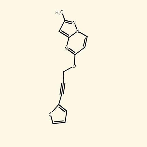 Cc1cc2nc(OCC#Cc3cccs3)ccn2n1